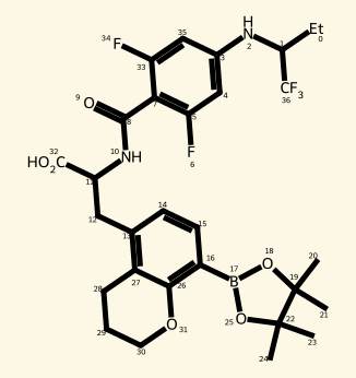 CCC(Nc1cc(F)c(C(=O)NC(Cc2ccc(B3OC(C)(C)C(C)(C)O3)c3c2CCCO3)C(=O)O)c(F)c1)C(F)(F)F